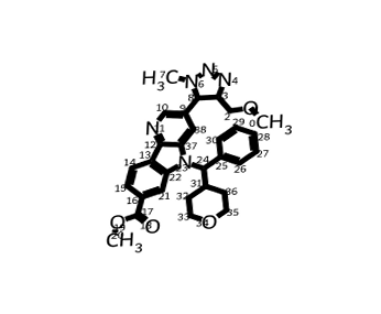 COCC1N=NN(C)C1c1cnc2c3ccc(C(=O)OC)cc3n(C(c3ccccc3)C3CCOCC3)c2c1